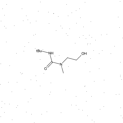 CN(CCO)C(=O)NC(C)(C)C